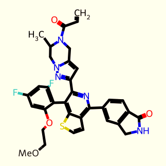 C=CC(=O)N1Cc2cc(-c3nc(-c4ccc5c(c4)CNC5=O)c4ccsc4c3-c3c(F)cc(F)cc3OCCOC)nn2CC1C